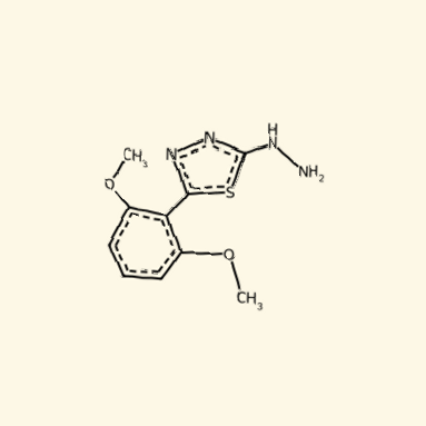 COc1cccc(OC)c1-c1nnc(NN)s1